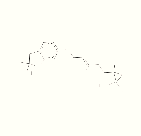 C/C(=C\COc1ccc2c(c1)OC(C)(C)C2)CCC1(C)OC1(C)C